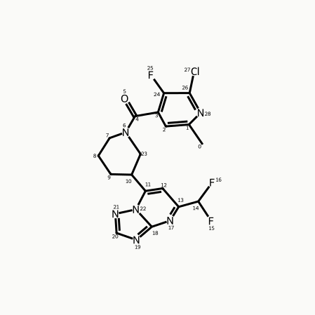 Cc1cc(C(=O)N2CCCC(c3cc(C(F)F)nc4ncnn34)C2)c(F)c(Cl)n1